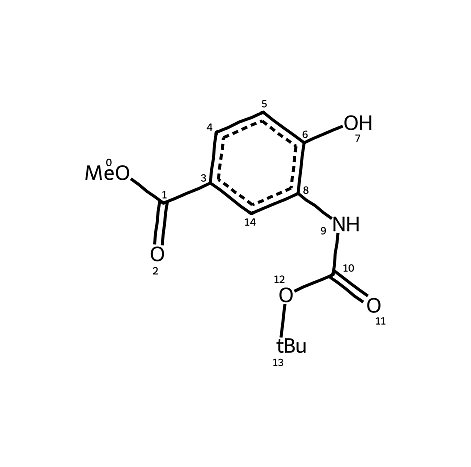 COC(=O)c1ccc(O)c(NC(=O)OC(C)(C)C)c1